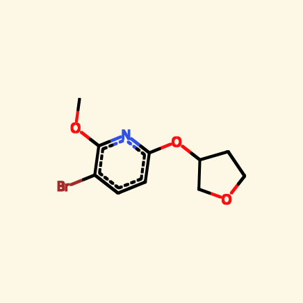 COc1nc(OC2CCOC2)ccc1Br